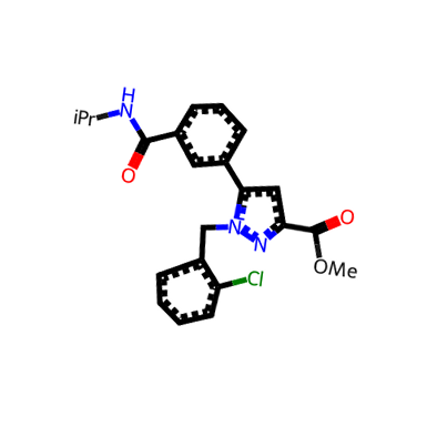 COC(=O)c1cc(-c2cccc(C(=O)NC(C)C)c2)n(Cc2ccccc2Cl)n1